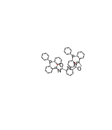 c1ccc(P(c2ccccc2)c2ccccc2[C@H]2COC(c3cccc(C4=N[C@@H](c5ccccc5P(c5ccccc5)c5ccccc5)CO4)n3)=N2)cc1